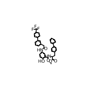 COC(=O)C(Cc1ccc(-c2ccccc2)cc1)NC(=O)c1cc(NC(=O)Cc2cccc(-c3ccc(C(F)(F)F)cc3)c2)ccc1O